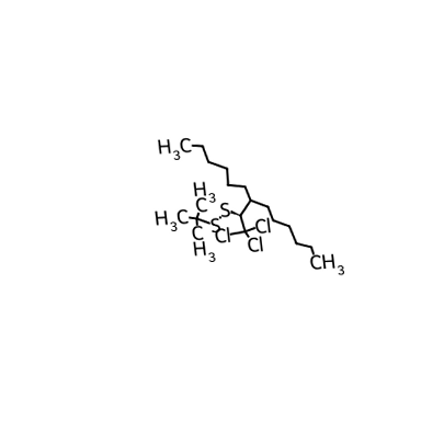 CCCCCCC(CCCCCC)[C@H](SSC(C)(C)C)C(Cl)(Cl)Cl